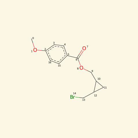 COc1ccc(C(=O)OCC2CC2CBr)cc1